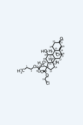 CCCOC(=O)OC1(C(=O)OCCl)CC[C@H]2[C@@H]3CCC4=CC(=O)CC[C@]4(C)[C@@H]3C(O)C[C@@]21C